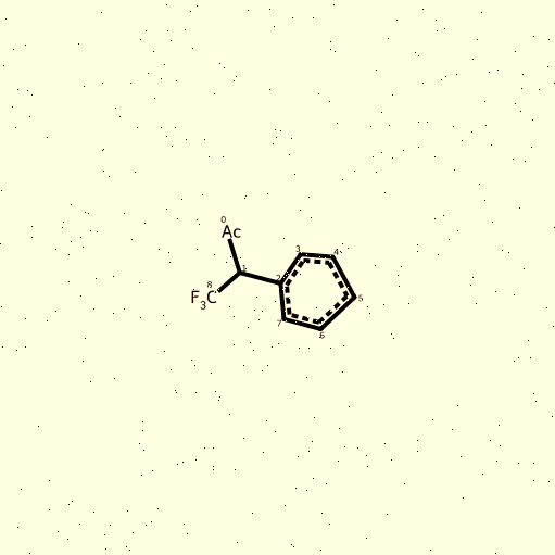 CC(=O)C(c1ccccc1)C(F)(F)F